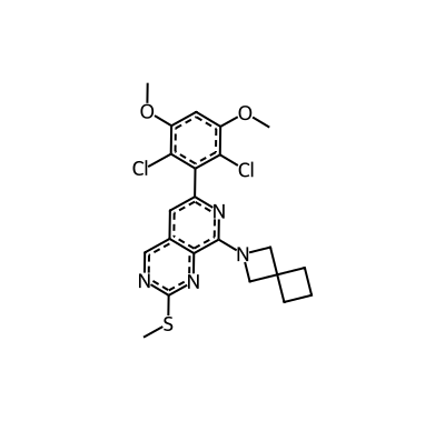 COc1cc(OC)c(Cl)c(-c2cc3cnc(SC)nc3c(N3CC4(CCC4)C3)n2)c1Cl